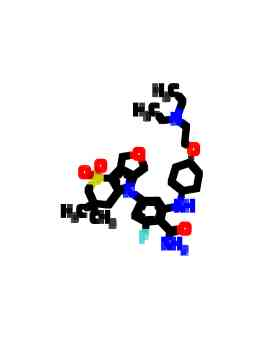 CCN(CC)CCO[C@H]1CC[C@H](Nc2cc(-n3c4c(c5c3CC(C)(C)CS5(=O)=O)COC4)cc(F)c2C(N)=O)CC1